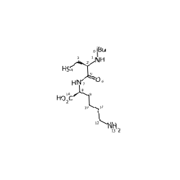 CCC(C)N[C@H](CS)C(=O)N[C@@H](CCCCN)C(=O)O